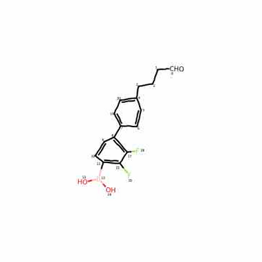 O=CCCCc1ccc(-c2ccc(B(O)O)c(F)c2F)cc1